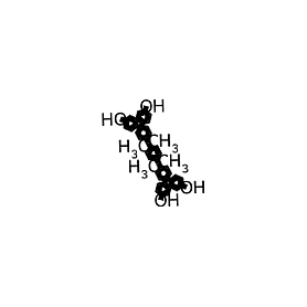 CC(C)(c1ccc(C(C)(C)C2CCC(c3ccc(O)cc3)(c3ccc(O)cc3)CC2)cc1)C1CCC(c2ccc(O)cc2)(c2ccc(O)cc2)CC1